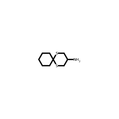 NC1CSC2(CCCCC2)SC1